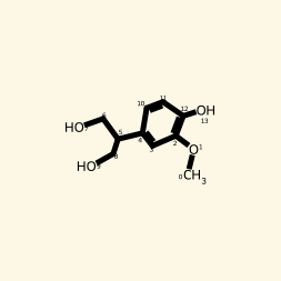 COc1cc(C(CO)CO)ccc1O